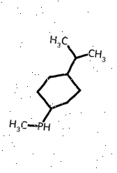 CPC1CCC(C(C)C)CC1